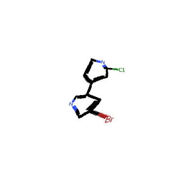 Clc1cc(-c2cncc(Br)c2)ccn1